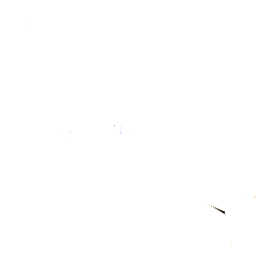 COC(=O)[C@H]1CC[C@H](CNC(=O)CCCCl)CC1